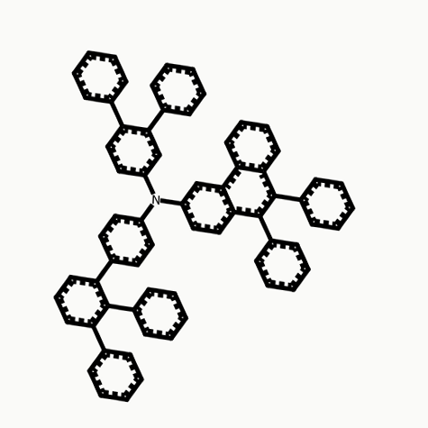 c1ccc(-c2ccc(N(c3ccc(-c4cccc(-c5ccccc5)c4-c4ccccc4)cc3)c3ccc4c(-c5ccccc5)c(-c5ccccc5)c5ccccc5c4c3)cc2-c2ccccc2)cc1